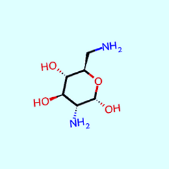 NC[C@H]1O[C@H](O)[C@H](N)[C@@H](O)[C@@H]1O